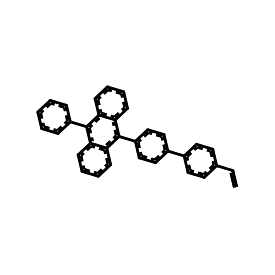 C=Cc1ccc(-c2ccc(-c3c4ccccc4c(-c4ccccc4)c4ccccc34)cc2)cc1